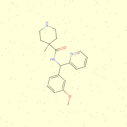 COc1cccc(C(NC(=O)C2(C)CCNCC2)c2ccccn2)c1